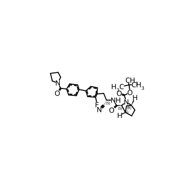 CC(C)(C)OC(=O)N1[C@@H]2CC[C@@H](C2)[C@H]1C(=O)N[C@H](C#N)Cc1ccc(-c2ccc(C(=O)N3CCCC3)cc2)cc1F